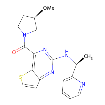 CO[C@@H]1CCN(C(=O)c2nc(N[C@@H](C)c3ccccn3)nc3ccsc23)C1